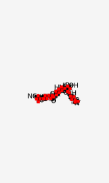 Cc1cc(C#N)ccc1Oc1ccc(/C=C2\SC(=O)N(Cc3ccc(CC(=O)N[C@H](C(=O)N4C[C@H](O)C[C@H]4C(=O)NCc4ccc(-c5scnc5C)cc4)C(C)(C)C)cc3)C2=O)cc1C